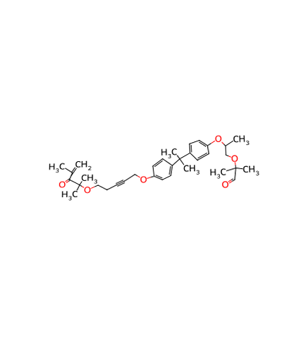 C=C(C)C(=O)C(C)(C)OCCC#CCOc1ccc(C(C)(C)c2ccc(OC(C)COC(C)(C)C=O)cc2)cc1